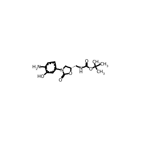 CC(C)(C)OC(=O)NC[C@H]1CN(c2ccc(N)c(O)c2)C(=O)O1